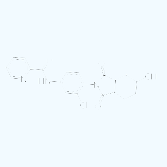 CC1CCC2C(=O)N(c3ccc(NC(=O)c4ccccn4)cc3Cl)C(=O)C2C1